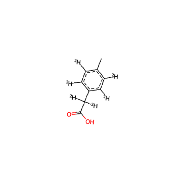 [2H]c1c([2H])c(C([2H])([2H])C(=O)O)c([2H])c([2H])c1C